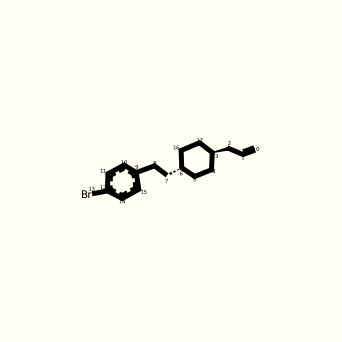 C=CC[C@H]1CC[C@H](CCc2ccc(Br)cc2)CC1